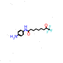 Nc1ccc(NC(=O)CCCCCCC(=O)C(F)(F)F)cc1